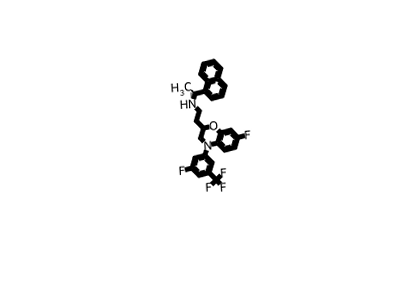 C[C@@H](NCCC1CN(c2cc(F)cc(C(F)(F)F)c2)c2ccc(F)cc2O1)c1cccc2ccccc12